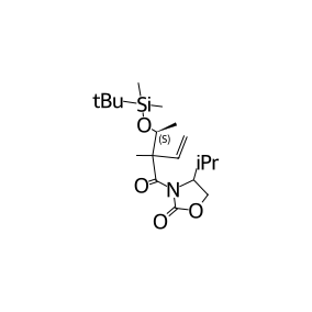 C=CC(C)(C(=O)N1C(=O)OCC1C(C)C)[C@H](C)O[Si](C)(C)C(C)(C)C